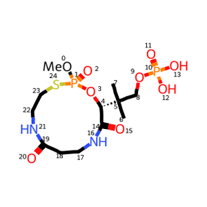 COP1(=O)O[C@H](C(C)(C)COP(=O)(O)O)C(=O)NCCC(=O)NCCS1